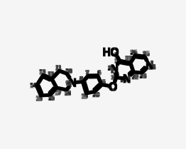 Oc1nc(Oc2ccc(N3CCc4ccccc4C3)cc2)nc2cnccc12